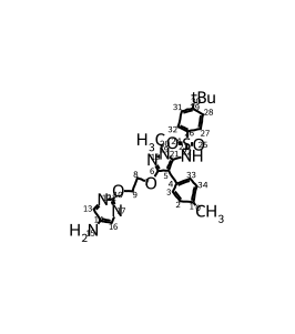 Cc1ccc(-c2c(OCCOc3ncc(N)cn3)nn(C)c2NS(=O)(=O)c2ccc(C(C)(C)C)cc2)cc1